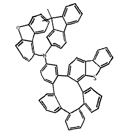 CC1(C)c2ccccc2-c2ccc(N(c3ccc4c5ccccc5c5ccccc5c5ccccc5c5c(ccc6c7ccccc7sc65)c4c3)c3cccc4oc5ccccc5c34)cc21